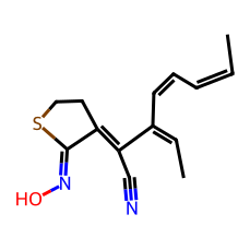 C\C=C/C=C\C(=C\C)C(\C#N)=C1/CCS/C1=N\O